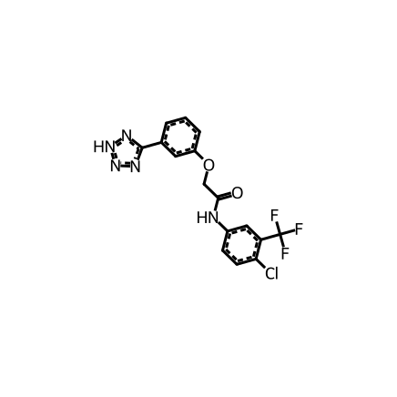 O=C(COc1cccc(-c2nn[nH]n2)c1)Nc1ccc(Cl)c(C(F)(F)F)c1